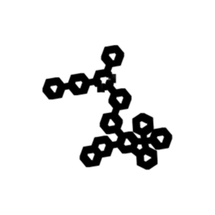 c1ccc(-c2ccc(-c3cc(-c4ccccc4)nc(-c4cccc(-c5cccc(-c6cc7c(cc6-c6ccc8ccccc8c6)-c6ccccc6C7(c6ccccc6)c6ccccc6)c5)c4)n3)cc2)cc1